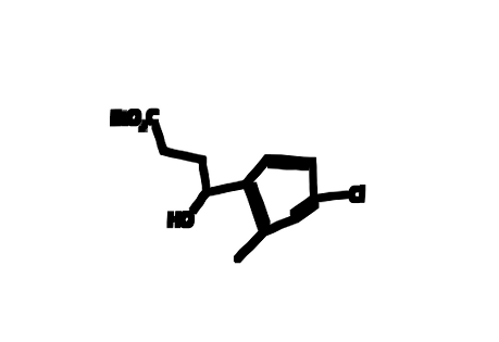 CCOC(=O)CCC(O)c1ccc(Cl)cc1C